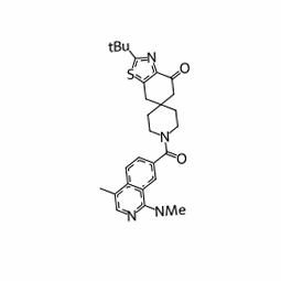 CNc1ncc(C)c2ccc(C(=O)N3CCC4(CC3)CC(=O)c3nc(C(C)(C)C)sc3C4)cc12